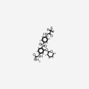 NC(=O)Nc1ccc(S(=O)(=O)c2ccc(NC(=O)C(F)(F)F)cc2)c(OC2CCCCO2)c1